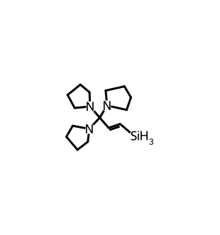 [SiH3]C=CC(N1CCCC1)(N1CCCC1)N1CCCC1